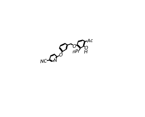 CCCc1c(OCc2cccc(Oc3ccc(C#N)cn3)c2)ccc(C(C)=O)c1O